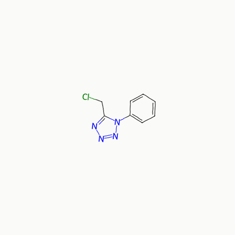 ClCc1nnnn1-c1ccccc1